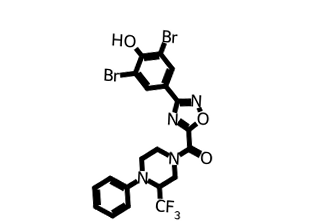 O=C(c1nc(-c2cc(Br)c(O)c(Br)c2)no1)N1CCN(c2ccccc2)C(C(F)(F)F)C1